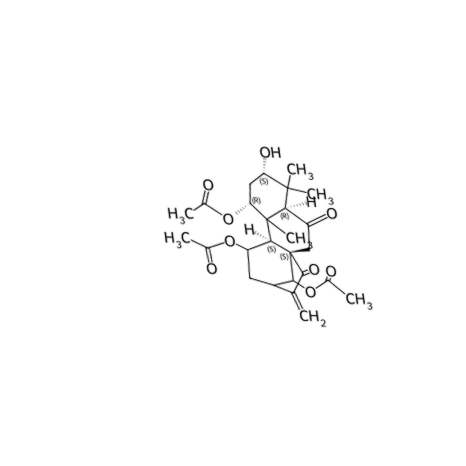 C=C1C(=O)[C@@]23CC(=O)[C@@H]4C(C)(C)[C@@H](O)C[C@@H](OC(C)=O)C4(C)[C@@H]2C(OC(C)=O)CC1C3OC(C)=O